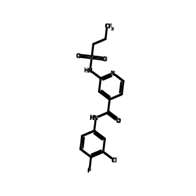 O=C(Nc1ccc(F)c(Cl)c1)c1ccnc(NS(=O)(=O)CCC(F)(F)F)c1